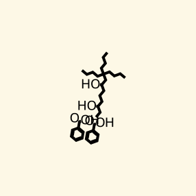 CCCCC(CCCC)(CCCC)CC(O)CCCC(O)CC.O=C(O)c1ccccc1.O=C(O)c1ccccc1